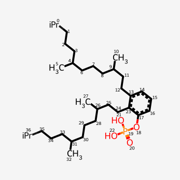 CC(C)CCCC(C)CCCC(C)CCc1cccc(OP(=O)(O)O)c1CCC(C)CCCC(C)CCCC(C)C